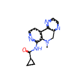 CN1Cc2nccnc2-c2ccnc(NC(=O)C3CC3)c21